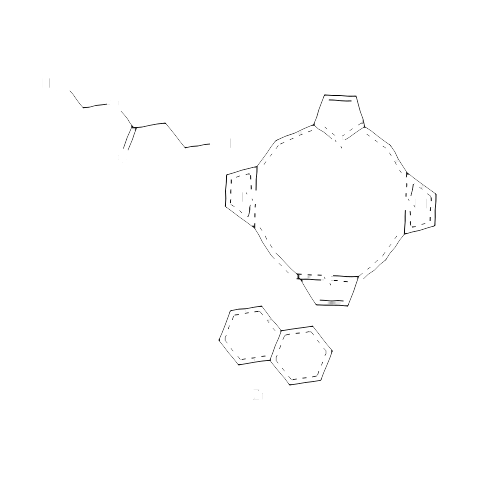 C1=Cc2cc3ccc(cc4nc(cc5ccc(cc1n2)[nH]5)C=C4)[nH]3.CCCC(=O)OCC.[Zn].c1ccc2ccccc2c1